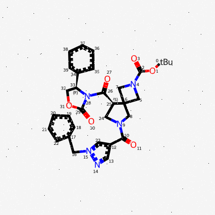 CC(C)(C)OC(=O)N1CC2(C1)CN(C(=O)c1cnn(Cc3ccccc3)c1)C[C@H]2C(=O)N1C(=O)OC[C@H]1c1ccccc1